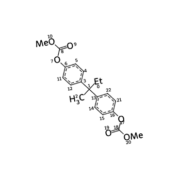 CCC(C)(c1ccc(OC(=O)OC)cc1)c1ccc(OC(=O)OC)cc1